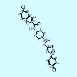 O=C(N[C@H]1CC[C@H](NCc2nnc(-c3ccc(Cl)cc3)o2)CC1)c1cc2cc(Cl)ccc2o1